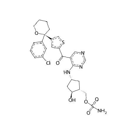 NS(=O)(=O)OC[C@H]1C[C@@H](Nc2ncncc2C(=O)c2cc([C@]3(c4cccc(Cl)c4)CCCCO3)cs2)C[C@@H]1O